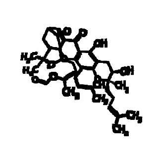 CC(C)=CCC[C@@]1(C)Oc2c(c(O)c3c(c2CC=C(C)C)O[C@]24C(=CC5CC2C(C)(C)OC4(C/C=C(/C)OC=O)C5=O)C3=O)C[C@H]1O